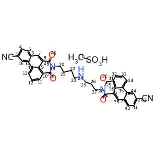 CS(=O)(=O)O.N#Cc1ccc2cc3c4c(cccc4c2c1)C(=O)N(CCCCNCCCN1C(=O)c2cccc4c2c(cc2ccc(C#N)cc24)C1=O)C3=O